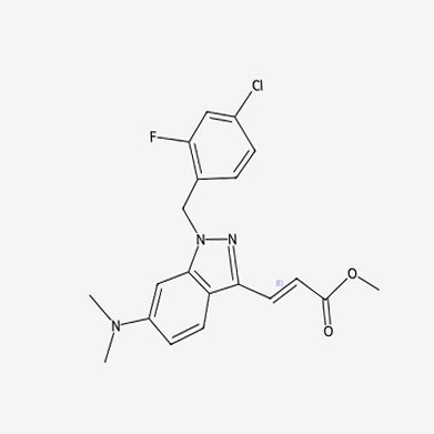 COC(=O)/C=C/c1nn(Cc2ccc(Cl)cc2F)c2cc(N(C)C)ccc12